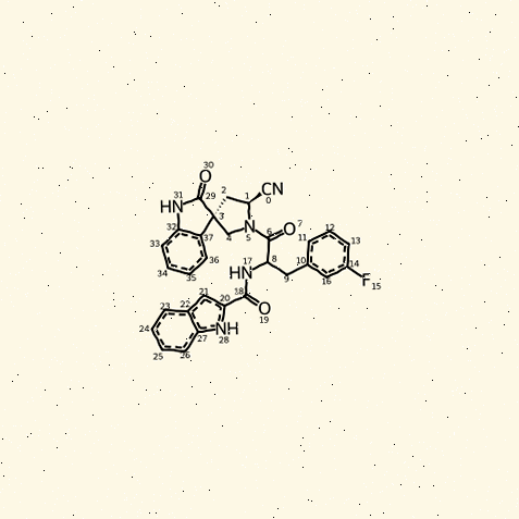 N#C[C@@H]1C[C@@]2(CN1C(=O)C(Cc1cccc(F)c1)NC(=O)c1cc3ccccc3[nH]1)C(=O)Nc1ccccc12